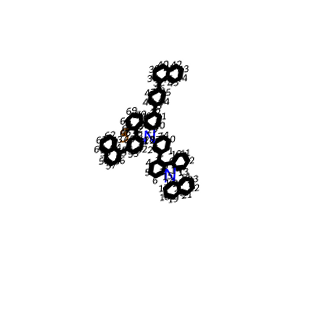 c1cc(-c2cccc3c2c2ccccc2n3-c2cccc3ccccc23)cc(N(c2ccc(-c3ccc(-c4cccc5ccccc45)cc3)cc2)c2ccc(-c3cccc4ccccc34)c3sc4ccccc4c23)c1